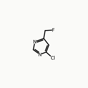 FCc1cc(Cl)ncn1